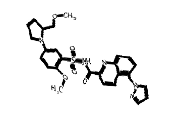 COCC1CCCN1c1ccc(OC)c(S(=O)(=O)NC(=O)c2ccc3c(-n4cccn4)cccc3n2)c1